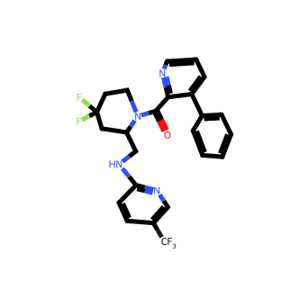 O=C(c1ncccc1-c1ccccc1)N1CCC(F)(F)CC1CNc1ccc(C(F)(F)F)cn1